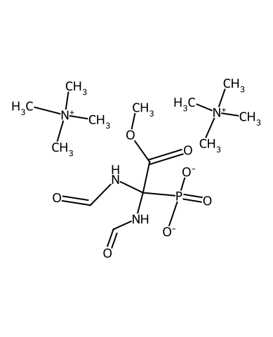 COC(=O)C(NC=O)(NC=O)P(=O)([O-])[O-].C[N+](C)(C)C.C[N+](C)(C)C